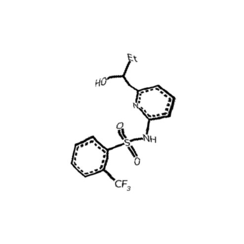 CCC(O)c1cccc(NS(=O)(=O)c2ccccc2C(F)(F)F)n1